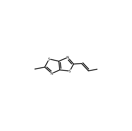 C/C=C/c1nc2sc(C)nc2s1